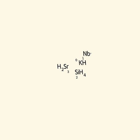 [KH].[Nb].[SiH4].[SrH2]